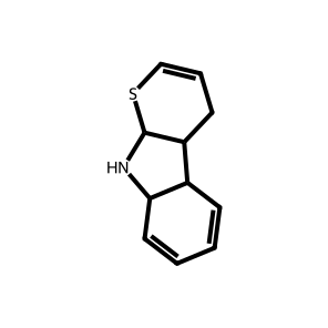 C1=CC2NC3SC=CCC3C2C=C1